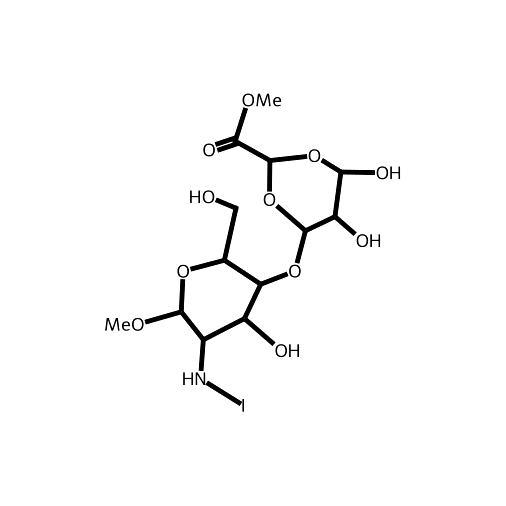 COC(=O)C1OC(O)C(O)C(OC2C(CO)OC(OC)C(NI)C2O)O1